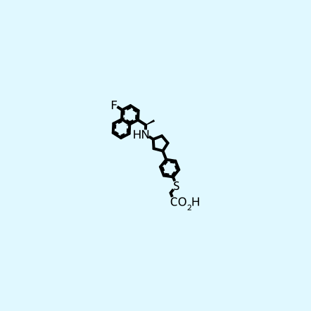 C[C@@H](NC1CCC(c2ccc(SCC(=O)O)cc2)C1)c1ccc(F)c2ccccc12